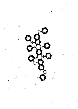 c1ccc(Oc2ccc3c4c5c(cc3c2)N(c2ccccc2)c2cc3c(cc2B5c2ccccc2O4)B2c4ccccc4N(c4ccccc4)c4c2c(cc2cc(Oc5ccccc5)ccc42)N3c2ccccc2)cc1